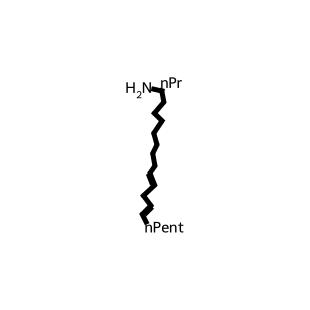 CCCCCC=CCC=CCCCCCCCC(N)CCC